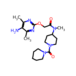 Cc1nc(OCC(=O)N(C)C2CCN(C(=O)N3CCCCC3)CC2)nc(C)c1N